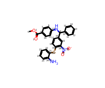 COC(=O)c1ccc(NC(c2ccccc2)c2ccc(Sc3ccccc3N)c([N+](=O)[O-])c2)cc1